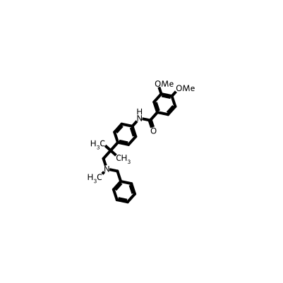 COc1ccc(C(=O)Nc2ccc(C(C)(C)CN(C)Cc3ccccc3)cc2)cc1OC